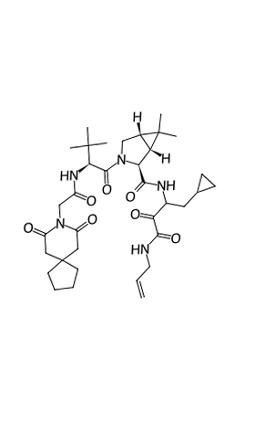 C=CCNC(=O)C(=O)C(CC1CC1)NC(=O)[C@@H]1[C@@H]2[C@H](CN1C(=O)[C@@H](NC(=O)CN1C(=O)CC3(CCCC3)CC1=O)C(C)(C)C)C2(C)C